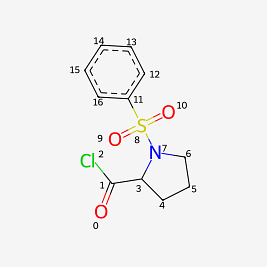 O=C(Cl)C1CCCN1S(=O)(=O)c1ccccc1